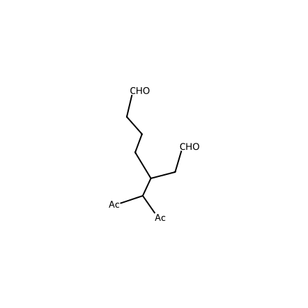 CC(=O)C(C(C)=O)C(CC=O)CCCC=O